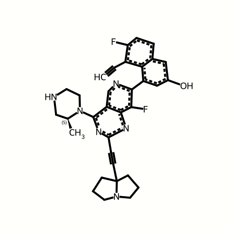 C#Cc1c(F)ccc2cc(O)cc(-c3ncc4c(N5CCNC[C@@H]5C)nc(C#CC56CCCN5CCC6)nc4c3F)c12